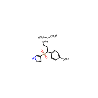 CNCCC(c1ccc(OC)cc1)S(=O)(=O)c1cc[nH]c1.O=C(O)CC(=O)O